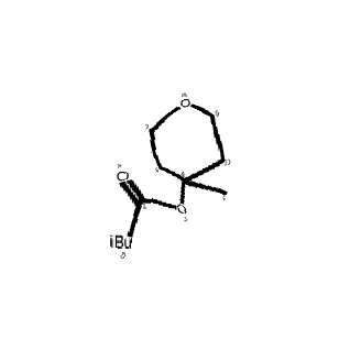 CCC(C)C(=O)OC1(C)CCOCC1